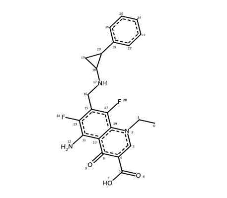 CCn1cc(C(=O)O)c(=O)c2c(N)c(F)c(CNC3CC3c3ccccc3)c(F)c21